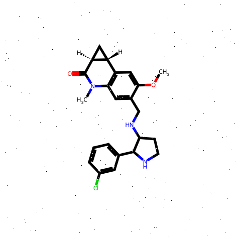 COc1cc2c(cc1CNC1CCNC1c1cccc(Cl)c1)N(C)C(=O)[C@H]1C[C@H]21